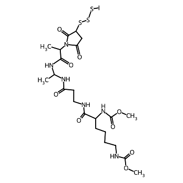 COC(=O)NCCCCC(NC(=O)OC)C(=O)NCCC(=O)NC(C)NC(=O)C(C)N1C(=O)CC(SSSI)C1=O